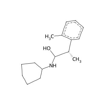 Cc1ccccc1[C@H](C)C(O)NC1CCCCC1